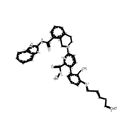 Cc1c(OCCCCCC=O)cccc1-c1ccc(N2CCc3cccc(C(=O)Nc4nc5ccccc5s4)c3C2)nc1C(=O)OC(C)(C)C